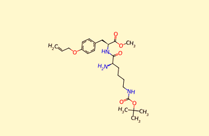 C=CCOc1ccc(C[C@H](NC(=O)[C@H](N)CCCCNC(=O)OC(C)(C)C)C(=O)OC)cc1